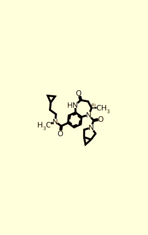 C[C@@H]1CC(=O)Nc2cc(C(=O)N(C)CCC3CC3)ccc2N1C(=O)N1CC2CC2C1